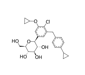 OC[C@H]1O[C@@H](c2cc(Cc3ccc(C4CC4)cc3)c(Cl)c(OC3CC3)c2)[C@H](O)[C@@H](O)[C@@H]1O